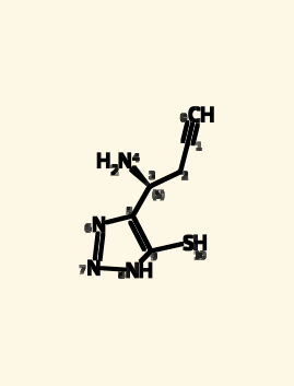 C#CC[C@H](N)c1nn[nH]c1S